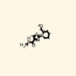 COCC1CCCCN1c1nc(C(=O)NN)cs1